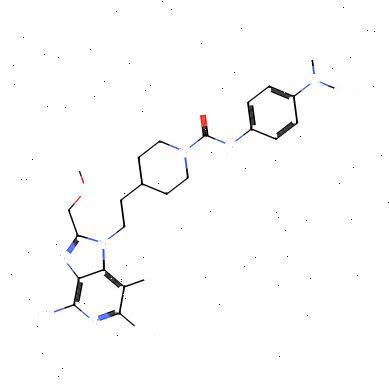 CCOCc1nc2c(N)nc(C)c(C)c2n1CCC1CCN(C(=O)Nc2ccc(N(C)C)cc2)CC1